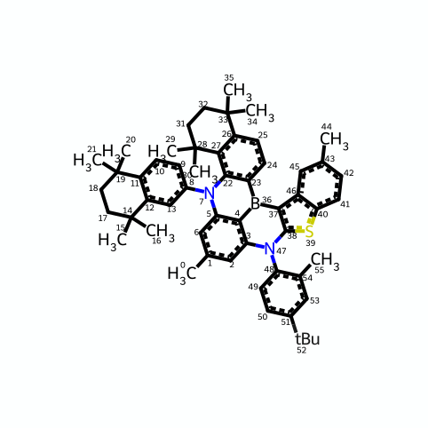 Cc1cc2c3c(c1)N(c1ccc4c(c1)C(C)(C)CCC4(C)C)c1c(ccc4c1C(C)(C)CCC4(C)C)B3c1c(sc3ccc(C)cc13)N2c1ccc(C(C)(C)C)cc1C